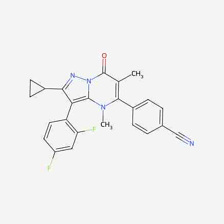 Cc1c(-c2ccc(C#N)cc2)n(C)c2c(-c3ccc(F)cc3F)c(C3CC3)nn2c1=O